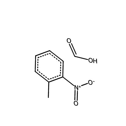 Cc1ccccc1[N+](=O)[O-].O=CO